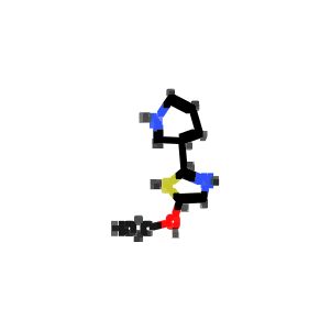 O=C(O)Oc1cnc(-c2cccnc2)s1